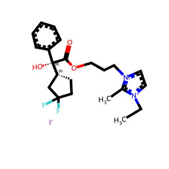 CC[n+]1ccn(CCCOC(=O)[C@](O)(c2ccccc2)[C@@H]2CCC(F)(F)C2)c1C.[I-]